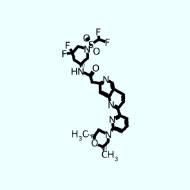 C[C@@H]1CN(c2cccc(-c3ccc4cnc(CC(=O)N[C@H]5CN(S(=O)(=O)C(F)F)CC(F)(F)C5)cc4n3)n2)C[C@H](C)O1